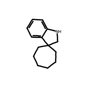 c1ccc2c(c1)NCC21CCCCCC1